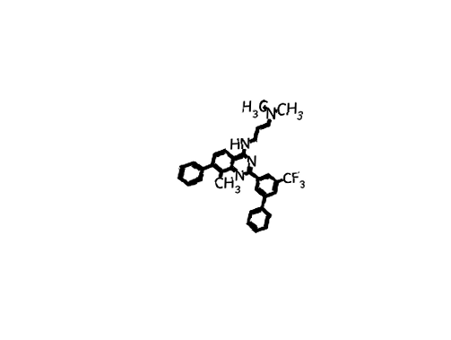 Cc1c(-c2ccccc2)ccc2c(NCCCN(C)C)nc(-c3cc(-c4ccccc4)cc(C(F)(F)F)c3)nc12